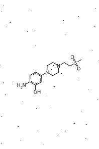 CS(=O)(=O)CCN1CCN(c2ccc(N)c(O)c2)CC1